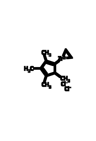 CC1=C(C)C(C)[C]([Zr+2]2[CH2][CH2]2)=C1C.[Cl-].[Cl-]